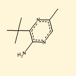 Cc1cnc(N)c(C(C)(C)C)n1